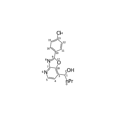 CCCC(O)c1ccnc2nc(-c3ccc(Cl)cc3)oc12